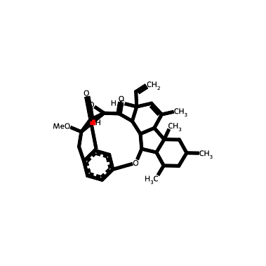 C=CC1(C)C=C(C)C2C3C(Oc4ccc(cc4)CC4(OC)NC(=O)C5(OC45)C(=O)C31)C1C(C)CC(C)CC21C